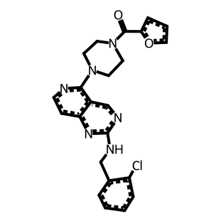 O=C(c1ccco1)N1CCN(c2nccc3nc(NCc4ccccc4Cl)ncc23)CC1